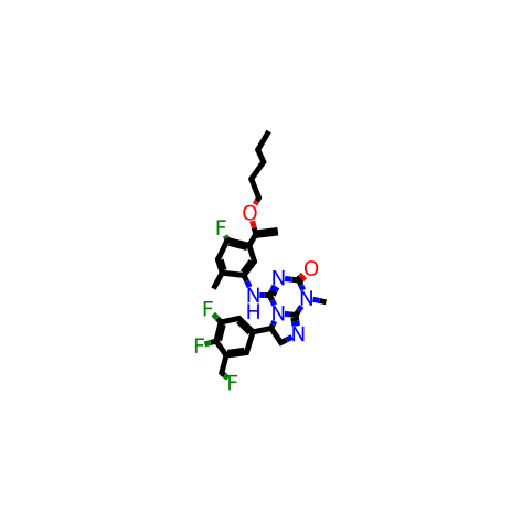 C=C(OCCCCC)c1cc(NC2=NC(=O)N(C)C3=NCC(c4cc(F)c(F)c(CF)c4)N23)c(C)cc1F